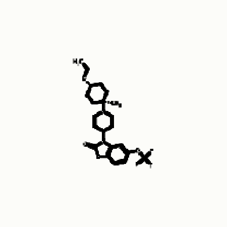 CCO[C@H]1CC[C@](C)(N2CCC(n3c(=O)oc4ccc(OC(F)(F)F)cc43)CC2)CC1